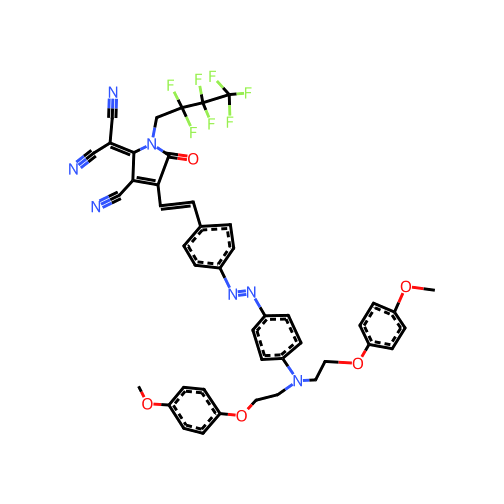 COc1ccc(OCCN(CCOc2ccc(OC)cc2)c2ccc(/N=N/c3ccc(/C=C/C4=C(C#N)C(=C(C#N)C#N)N(CC(F)(F)C(F)(F)C(F)(F)F)C4=O)cc3)cc2)cc1